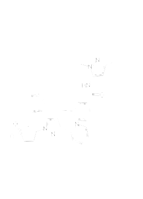 Cc1cc(NC(=O)c2cccc(Cc3c(-c4ccccn4)nn(C4CCS(=O)(=O)C4)c3-c3ccccc3)c2)n(C)n1